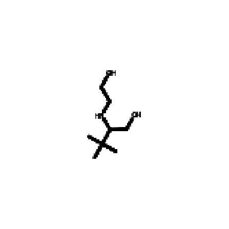 CC(C)(C)C(CO)NCCO